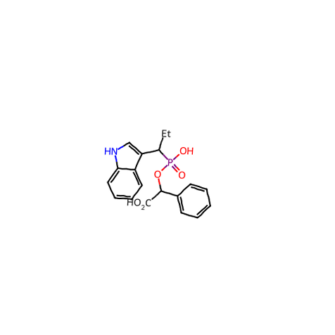 CCC(c1c[nH]c2ccccc12)P(=O)(O)OC(C(=O)O)c1ccccc1